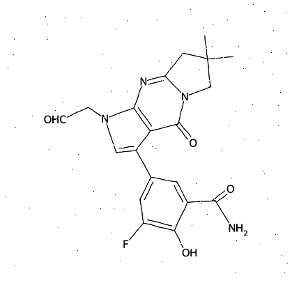 CC1(C)Cc2nc3c(c(-c4cc(F)c(O)c(C(N)=O)c4)cn3CC=O)c(=O)n2C1